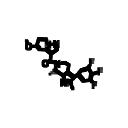 COc1ccn2ncc(C(=O)N3CCc4c(nn(C)c4-c4cc(F)c(F)c(F)c4)[C@@H]3C)c2c1